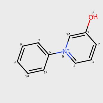 Oc1ccc[n+](-c2ccccc2)c1